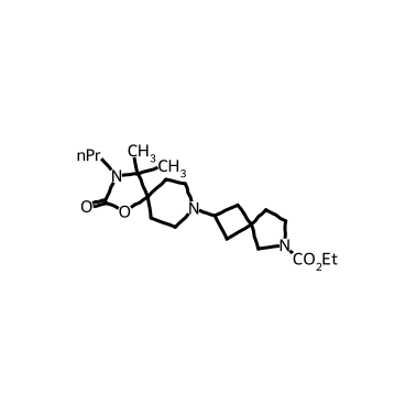 CCCN1C(=O)OC2(CCN(C3CC4(CCN(C(=O)OCC)C4)C3)CC2)C1(C)C